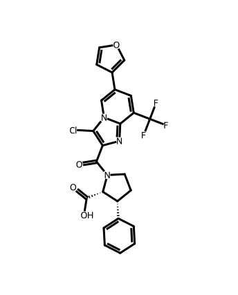 O=C(O)[C@H]1[C@@H](c2ccccc2)CCN1C(=O)c1nc2c(C(F)(F)F)cc(-c3ccoc3)cn2c1Cl